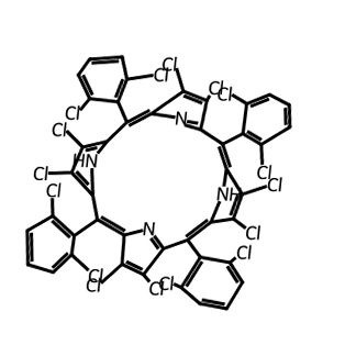 ClC1=C(Cl)c2nc1c(-c1c(Cl)cccc1Cl)c1[nH]c(c(Cl)c1Cl)c(-c1c(Cl)cccc1Cl)c1nc(c(-c3c(Cl)cccc3Cl)c3[nH]c(c(Cl)c3Cl)c2-c2c(Cl)cccc2Cl)C(Cl)=C1Cl